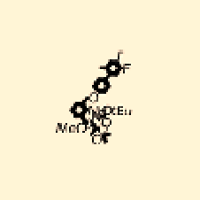 COC(=O)c1cccc(COc2ccc(-c3cc(F)c(F)cc3C)cc2)c1NN(CC1COC(C)(C)O1)C(=O)OC(C)(C)C